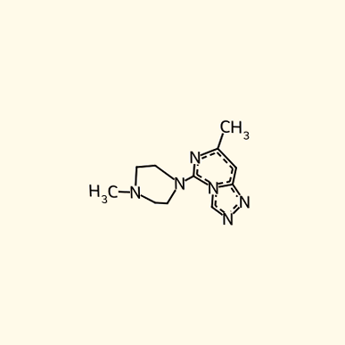 Cc1cc2nncn2c(N2CCN(C)CC2)n1